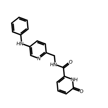 O=C(NCc1ccc(Nc2ccccc2)cn1)c1cccc(=O)[nH]1